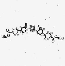 CC(C)(C)OC(=O)N1CC=C(c2ccc(-c3nnc(-c4ccc(C5=CCN(C(=O)OC(C)(C)C)CC5)cc4F)o3)c(F)c2)CC1